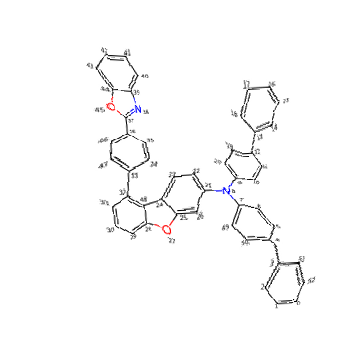 c1ccc(-c2ccc(N(c3ccc(-c4ccccc4)cc3)c3ccc4c(c3)oc3cccc(-c5ccc(-c6nc7ccccc7o6)cc5)c34)cc2)cc1